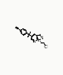 C#Cc1ccc(C(C)(C)c2cnc3c(cnn3CCCl)c2)cc1